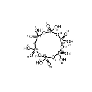 O=P1(O)CP(=O)(O)OP(=O)(O)OP(=O)(O)OP(=O)(O)OP(=O)(O)O1